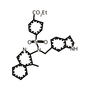 CCOC(=O)c1ccc(S(=O)(=O)N(Cc2ccc3cc[nH]c3c2)c2ncc3ccccc3c2C)cc1